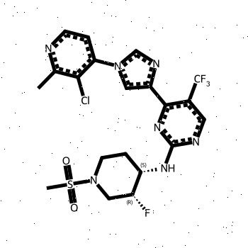 Cc1nccc(-n2cnc(-c3nc(N[C@H]4CCN(S(C)(=O)=O)C[C@H]4F)ncc3C(F)(F)F)c2)c1Cl